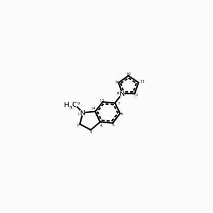 CN1CCc2ccc(-n3cccc3)cc21